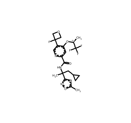 Cc1nc(C(C)(CC2CC2)NC(=O)c2cc(O[C@@H](C)C(F)(F)F)c(C3(F)COC3)cn2)no1